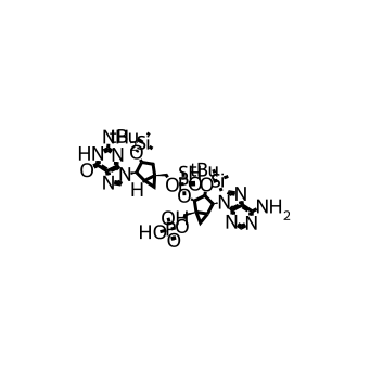 CC(C)(C)[Si](C)(C)OC1C[C@]2(COP(=O)(S)O[C@H]3C(O[Si](C)(C)C(C)(C)C)[C@H](n4cnc5c(N)ncnc54)C4C[C@@]43COP(=O)(O)O)C[C@@H]2[C@H]1n1cnc2c(=O)[nH]c(N)nc21